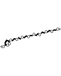 O=C(O)/C=C\C(=O)OCCOCCOCCOCCOCCOCCOCCOCCO